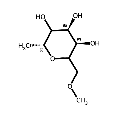 COCC1O[C@H](C)C(O)[C@@H](O)[C@H]1O